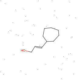 OCC=CC1CCCCCC1